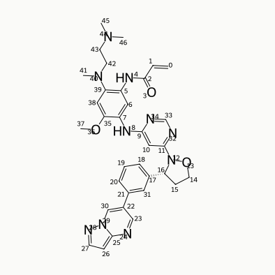 C=CC(=O)Nc1cc(Nc2cc(N3OCC[C@@H]3c3cccc(-c4cnc5ccnn5c4)c3)ncn2)c(OC)cc1N(C)CCN(C)C